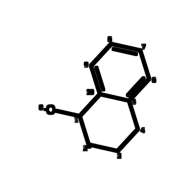 [O]C1[C]CCc2ccccc21